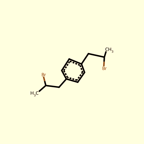 CC(Br)Cc1ccc(CC(C)Br)cc1